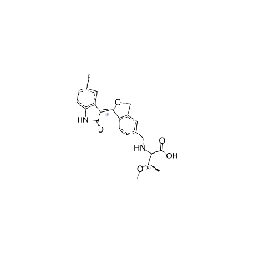 CO[C@H](C)C(NCc1ccc2c(c1)CO/C2=C1/C(=O)Nc2ccc(F)cc21)C(=O)O